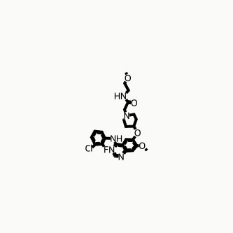 COCCNC(=O)CN1CCC(Oc2cc3c(Nc4cccc(Cl)c4F)ncnc3cc2OC)CC1